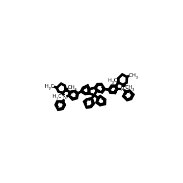 CC1CCC2(C)c3cc(-c4ccc5c(c4)C(c4ccccc4)(c4ccccc4)c4cc(-c6ccc7c(c6)C6(C)CCC(C)CC6(C)N7c6ccccc6)ccc4-5)ccc3N(c3ccccc3)C2(C)C1